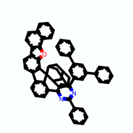 c1ccc(-c2cc(-c3ccccc3)cc(-c3cc(-c4cccc5c4C4(c6c-5ccc5c6oc6c7ccccc7ccc56)C5CC6CC(C5)CC4C6)nc(-c4ccccc4)n3)c2)cc1